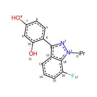 CC(C)n1nc(-c2ccc(O)cc2O)c2cccc(F)c21